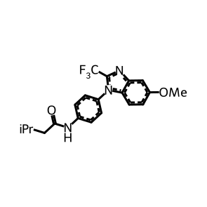 COc1ccc2c(c1)nc(C(F)(F)F)n2-c1ccc(NC(=O)CC(C)C)cc1